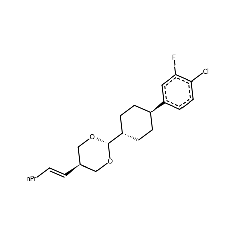 CCCC=C[C@H]1CO[C@H]([C@H]2CC[C@H](c3ccc(Cl)c(F)c3)CC2)OC1